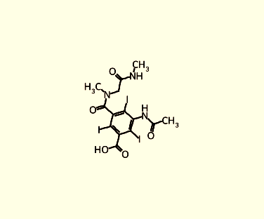 CNC(=O)CN(C)C(=O)c1c(I)c(NC(C)=O)c(I)c(C(=O)O)c1I